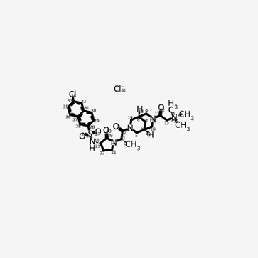 C[C@@H](C(=O)N1C[C@@H]2C[C@@H](CN(C(=O)C[N+](C)(C)C)C2)C1)N1CC[C@H](NS(=O)(=O)c2ccc3cc(Cl)ccc3c2)C1=O.[Cl-]